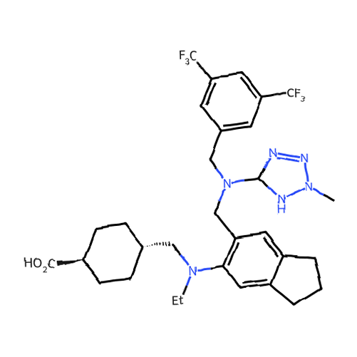 CCN(C[C@H]1CC[C@H](C(=O)O)CC1)c1cc2c(cc1CN(Cc1cc(C(F)(F)F)cc(C(F)(F)F)c1)C1N=NN(C)N1)CCC2